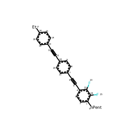 CCCCCc1ccc(C#Cc2ccc(C#Cc3ccc(CC)cc3)cc2)c(F)c1F